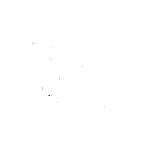 C=CC(=O)NC[C@@H]1NC(=O)OCC(C)(C)CCCCc2cccc3c2CN(C3)C(=O)O[C@@H]2C[C@@H](C(=O)NC3(C(=O)NS(=O)(=O)C4CC4)CC(=C)C3)N(C2)C1=O